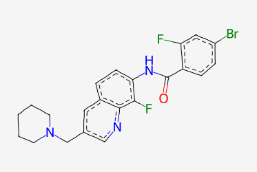 O=C(Nc1ccc2cc(CN3CCCCC3)cnc2c1F)c1ccc(Br)cc1F